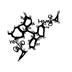 CC1CC2=C(C=C1NS(=O)(=O)C1CC1)/C(=C1\c3ccccc3-c3ccc(NS(=O)(=O)C4CC4)cc31)c1ccccc12